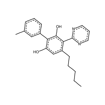 CCCCCc1cc(O)c(-c2cccc(C)c2)c(O)c1-c1ncccn1